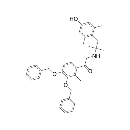 Cc1cc(O)cc(C)c1CC(C)(C)NCC(=O)c1ccc(OCc2ccccc2)c(OCc2ccccc2)c1C